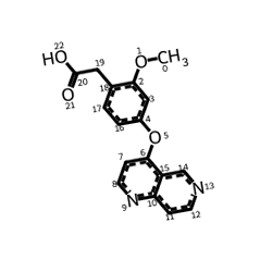 COc1cc(Oc2ccnc3ccncc23)ccc1CC(=O)O